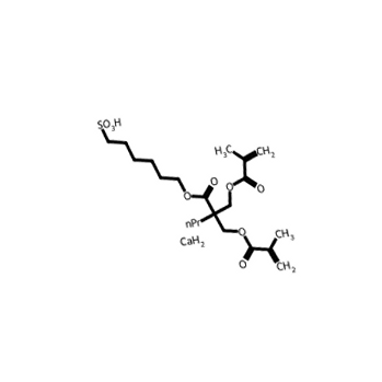 C=C(C)C(=O)OCC(CCC)(COC(=O)C(=C)C)C(=O)OCCCCCCS(=O)(=O)O.[CaH2]